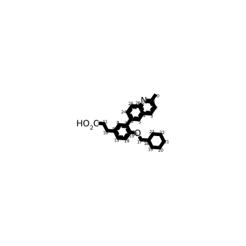 Cc1ccc2cc(-c3cc(CCC(=O)O)ccc3OCC3CCCCC3)ccc2n1